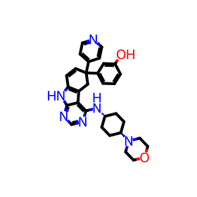 Oc1cccc(C2(c3ccncc3)C=Cc3[nH]c4ncnc(N[C@H]5CC[C@H](N6CCOCC6)CC5)c4c3C2)c1